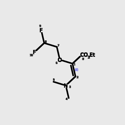 CCOC(=O)/C(=C/N(C)C)OCC(F)F